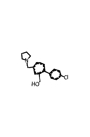 OCc1cc(CN2CCCC2)ccc1-c1ccc(Cl)cc1